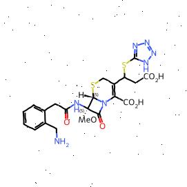 CO[C@@]1(NC(=O)Cc2ccccc2CN)C(=O)N2C(C(=O)O)=C(C(CC(=O)O)Sc3nnn[nH]3)CS[C@H]21